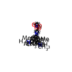 COc1cc(N(C)C)cc(OC)c1C(c1c(OC)cc(N(C)C)cc1OC)c1c(OC)cc(N2CCC(C(=O)ON3C(=O)CCC3=O)CC2)cc1OC